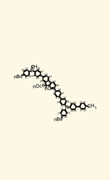 CCCCCCCCC1(CCCCCCCC)c2cc(-c3ccc(-c4ccc(N(c5ccc(CCCC)cc5)c5ccc(-c6ccc(C)cc6)cc5)cc4)cc3)ccc2-c2ccc(-c3ccc(N(C)c4ccc(CCCC)cc4)cc3)cc21